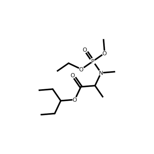 CCOP(=O)(OC)N(C)C(C)C(=O)OC(CC)CC